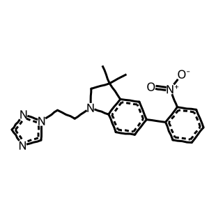 CC1(C)CN(CCn2cncn2)c2ccc(-c3ccccc3[N+](=O)[O-])cc21